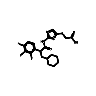 O=C(O)CSc1cnc(NC(=O)N(CC2CCCCC2)c2ccc(F)c(F)c2F)s1